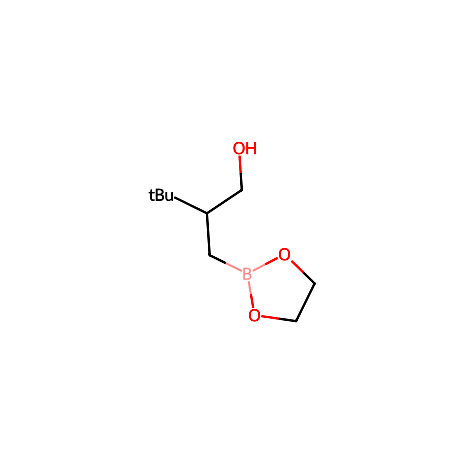 CC(C)(C)C(CO)CB1OCCO1